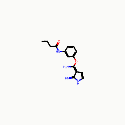 CCCC(=O)Nc1cccc(O/C(N)=C2\C=CNC2=N)c1